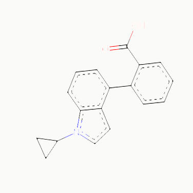 O=C(O)c1ccccc1-c1c[c]cc2c1ccn2C1CC1